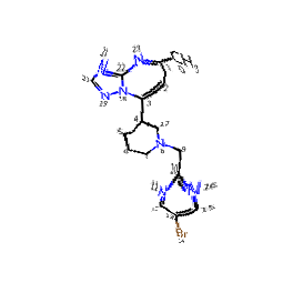 Cc1cc(C2CCCN(Cc3ncc(Br)cn3)C2)n2ncnc2n1